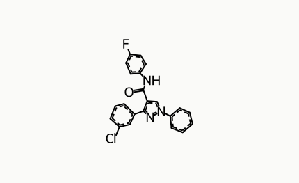 O=C(Nc1ccc(F)cc1)c1cn(-c2ccccc2)nc1-c1cccc(Cl)c1